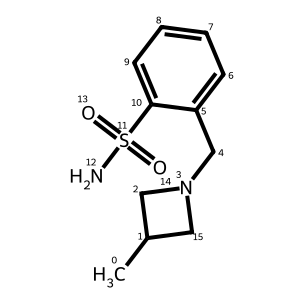 CC1CN(Cc2ccccc2S(N)(=O)=O)C1